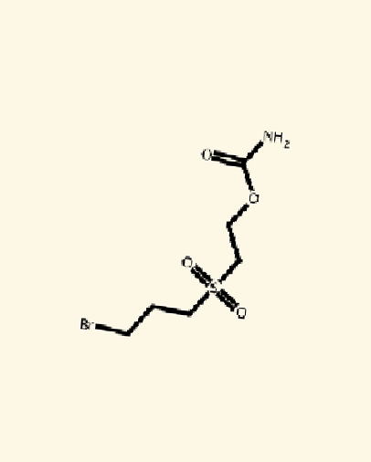 NC(=O)OCCS(=O)(=O)CCCBr